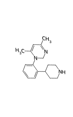 CC1=CC(C)=NCN1c1ccccc1C1CCNCC1